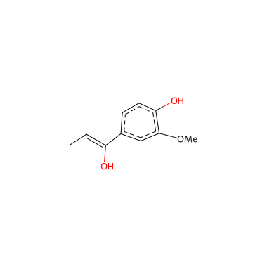 CC=C(O)c1ccc(O)c(OC)c1